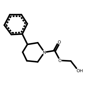 O=C(OCO)N1CCCC(c2ccccc2)C1